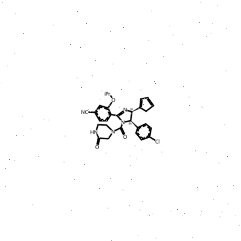 CC(C)Oc1cc(C#N)ccc1C1=N[C@@H](C2=CC=CC2)[C@@H](c2ccc(Cl)cc2)N1C(=O)N1CCNC(=O)C1